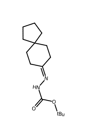 CC(C)(C)OC(=O)NN=C1CCC2(CCCC2)CC1